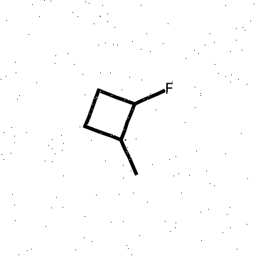 C[C]1CCC1F